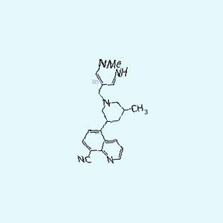 CN/C=C(\C=N)CN1CC(C)CC(c2ccc(C#N)c3ncccc23)C1